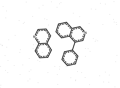 c1ccc(-c2cncc3ccccc23)cc1.c1ccc2ncccc2c1